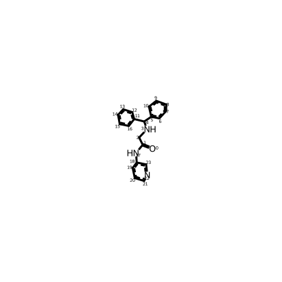 O=C(CNC(c1ccccc1)c1ccccc1)Nc1cccnc1